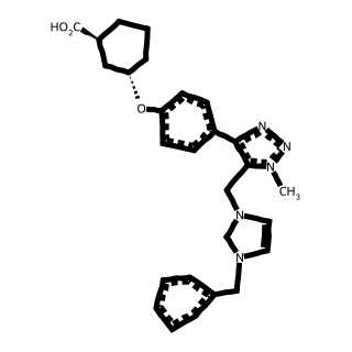 Cn1nnc(-c2ccc(O[C@H]3CCC[C@H](C(=O)O)C3)cc2)c1CN1C=CN(Cc2ccccc2)C1